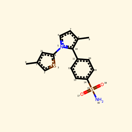 Cc1csc(-n2ccc(C)c2-c2ccc(S(N)(=O)=O)cc2)c1